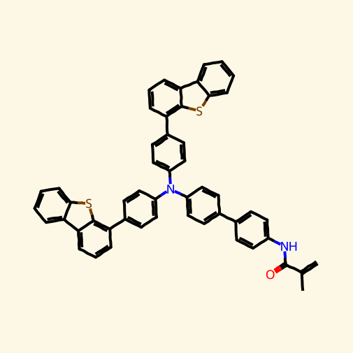 C=C(C)C(=O)Nc1ccc(-c2ccc(N(c3ccc(-c4cccc5c4sc4ccccc45)cc3)c3ccc(-c4cccc5c4sc4ccccc45)cc3)cc2)cc1